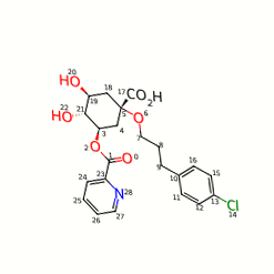 O=C(O[C@@H]1C[C@](OCCCc2ccc(Cl)cc2)(C(=O)O)C[C@H](O)[C@H]1O)c1ccccn1